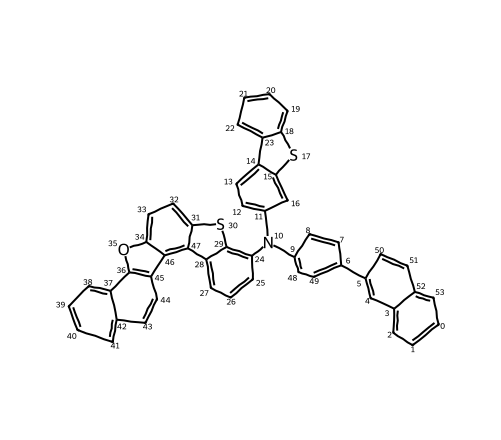 c1ccc2cc(-c3ccc(N(c4ccc5c(c4)sc4ccccc45)c4cccc5c4sc4ccc6oc7c8ccccc8ccc7c6c45)cc3)ccc2c1